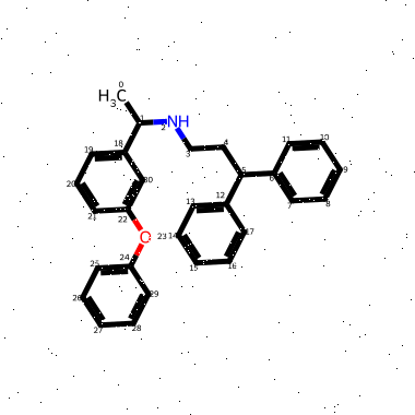 CC(NCCC(c1ccccc1)c1ccccc1)c1cccc(Oc2ccccc2)c1